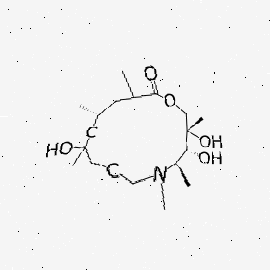 CC1C[C@@H](C)CC(C)(O)CCCN(C)[C@H](C)[C@@H](O)[C@@](C)(O)COC1=O